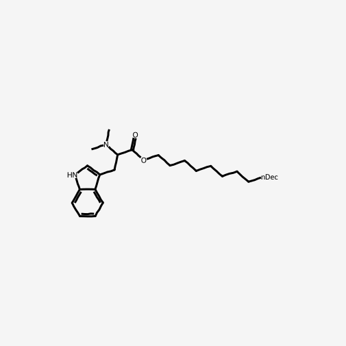 CCCCCCCCCCCCCCCCCCOC(=O)C(Cc1c[nH]c2ccccc12)N(C)C